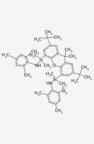 Cc1cc(C)c(N[Si](C)(C)c2cc(C(C)(C)C)cc3c2Oc2c(cc(C(C)(C)C)cc2[Si](C)(C)Nc2c(C)cc(C)cc2C)C3(C)C)c(C)c1